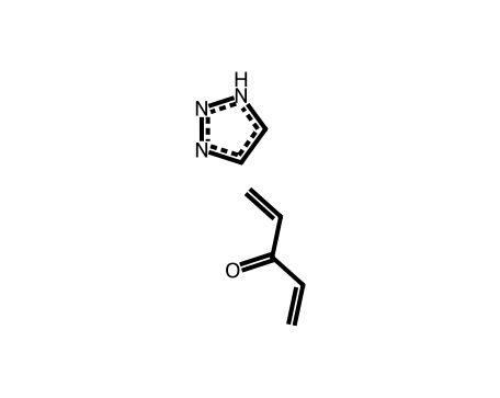 C=CC(=O)C=C.c1c[nH]nn1